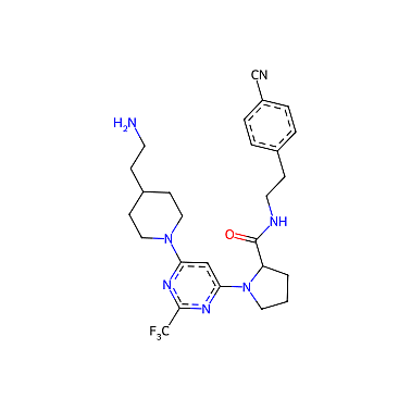 N#Cc1ccc(CCNC(=O)C2CCCN2c2cc(N3CCC(CCN)CC3)nc(C(F)(F)F)n2)cc1